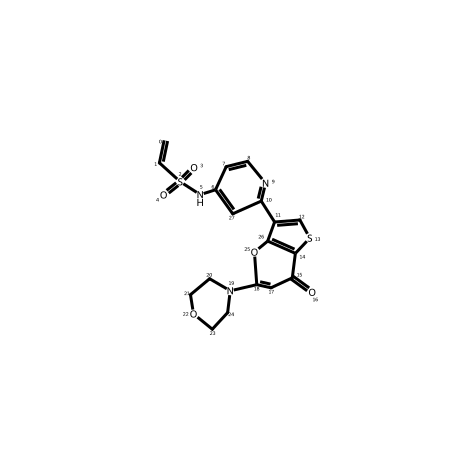 C=CS(=O)(=O)Nc1ccnc(-c2csc3c(=O)cc(N4CCOCC4)oc23)c1